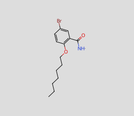 CCCCCCCOc1ccc(Br)cc1C([NH])=O